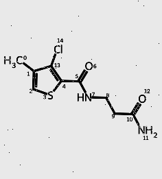 Cc1csc(C(=O)NCCC(N)=O)c1Cl